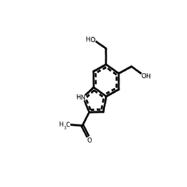 CC(=O)c1cc2cc(CO)c(CO)cc2[nH]1